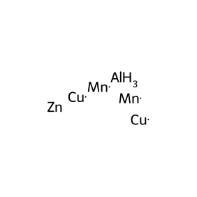 [AlH3].[Cu].[Cu].[Mn].[Mn].[Zn]